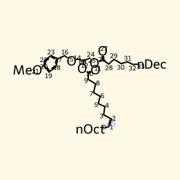 CCCCCCCC/C=C\CCCCCCCC(=O)O[C@@H](COCc1ccc(OC)cc1)COC(=O)CCCCCCCCCCCCCCC